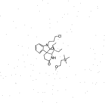 CC=C(CC)C1NC(=O)CCC12C(=O)N(CCCCl)c1ccccc12.COCC[Si](C)(C)C